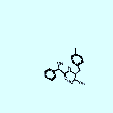 Cc1ccc(C[C@H](NC(=O)[C@H](O)c2ccccc2)B(O)O)cc1